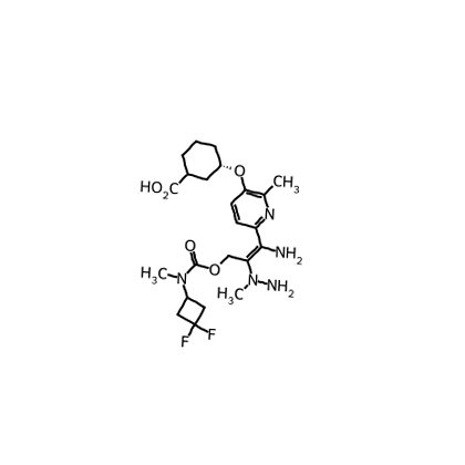 Cc1nc(/C(N)=C(\COC(=O)N(C)C2CC(F)(F)C2)N(C)N)ccc1O[C@H]1CCCC(C(=O)O)C1